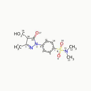 CC1=NN(c2ccc(S(=O)(=O)N(C)C)cc2)C(=O)C1C(=O)O